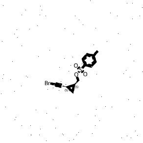 Cc1ccc(S(=O)(=O)OC[C@H]2C[C@@H]2C#CBr)cc1